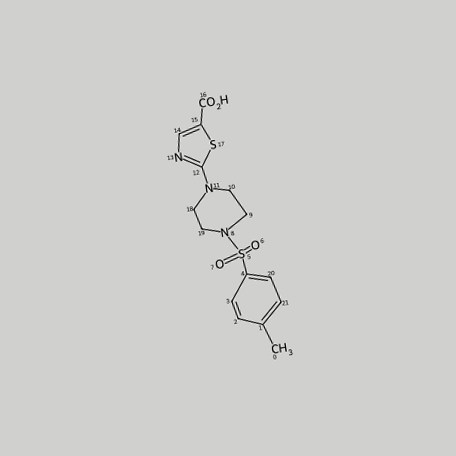 Cc1ccc(S(=O)(=O)N2CCN(c3ncc(C(=O)O)s3)CC2)cc1